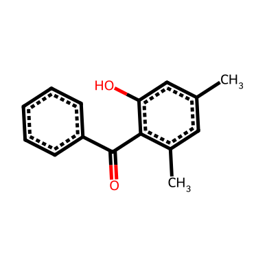 Cc1cc(C)c(C(=O)c2ccccc2)c(O)c1